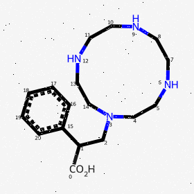 O=C(O)C(CN1CCNCCNCCNCC1)c1ccccc1